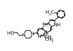 C=N/C=C1/NC(c2ccccc2C)=C/C1=N/c1cc(N2CCN(CCO)CC2)nc(C)n1